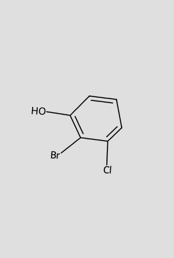 Oc1cccc(Cl)c1Br